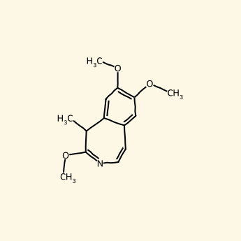 COC1=NC=Cc2cc(OC)c(OC)cc2C1C